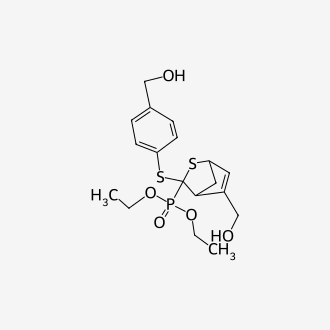 CCOP(=O)(OCC)C1(Sc2ccc(CO)cc2)SC2C=C(CO)C1C2